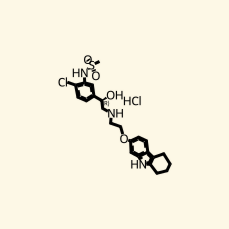 CS(=O)(=O)Nc1cc([C@@H](O)CNCCOc2ccc3c4c([nH]c3c2)CCCC4)ccc1Cl.Cl